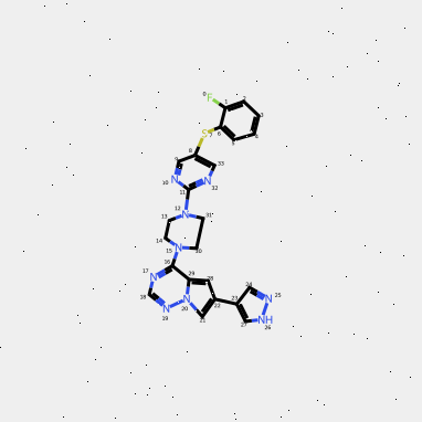 Fc1ccccc1Sc1cnc(N2CCN(c3ncnn4cc(-c5cn[nH]c5)cc34)CC2)nc1